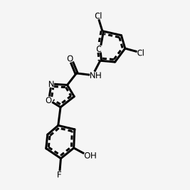 O=C(Nc1cc(Cl)cc(Cl)c1)c1cc(-c2ccc(F)c(O)c2)on1